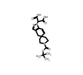 CC(C)(C)OC(=O)N1CCC2(C=Cc3c(cnn3C(C(=O)O)C(=O)O)C2)CC1